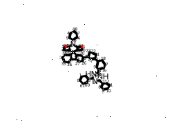 c1ccc(C2=NC(c3ccccc3)NC(c3cccc(-c4cccc(-c5ccc6c(c5)C5(c7ccccc7-6)c6ccccc6N(c6ccccc6)c6ccccc65)c4)c3)N2)cc1